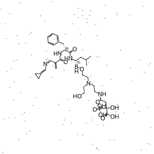 C=C(/C=N\C=C1CC1)C(=O)N[C@H](Cc1ccccc1)C(=O)N[C@@H](BOCCN(CCO)CCNC(=O)CC(O)(C(=O)O)P(=O)(O)O)CC(C)C